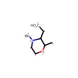 CC1OCCN(C(C)(C)C)C1CC(=O)O